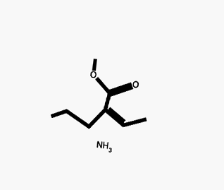 CC=C(CCC)C(=O)OC.N